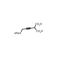 CCCCCCC#CC(C(=O)O)C(=O)O